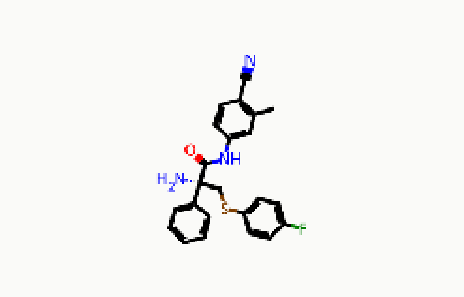 Cc1cc(NC(=O)[C@@](N)(CSc2ccc(F)cc2)c2ccccc2)ccc1C#N